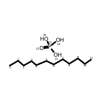 CCCCCCCCCCCC.O=P(O)(O)O